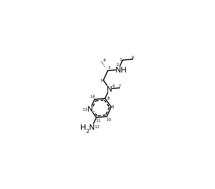 CCN[C@@H](C)CN(C)c1ccc(N)nc1